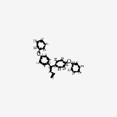 C=CC=C(c1ccc(Oc2ccccc2)cc1)c1ccc(Oc2ccccc2)cc1